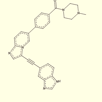 CN1CCN(C(=O)c2ccc(-c3ccc4ncc(C#Cc5ccc6[nH]cnc6c5)n4c3)cc2)CC1